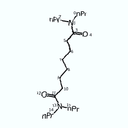 CCCN(CCC)C(=O)CCCCCCC(=O)N(CCC)CCC